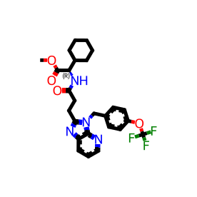 COC(=O)[C@H](NC(=O)CCc1nc2cccnc2n1Cc1ccc(OC(F)(F)F)cc1)C1CCCCC1